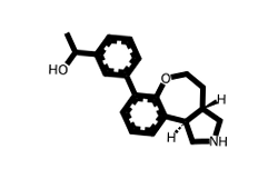 CC(O)c1cccc(-c2cccc3c2OCC[C@@H]2CNC[C@@H]32)c1